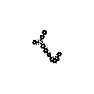 c1ccc(-c2ccc(-c3nc(-c4ccccc4)nc(-c4ccc(-c5ccc(-c6ccc(-c7ccc8ccc9ccc(-c%10ccccc%10)nc9c8n7)cc6)cc5)cc4)n3)cc2)cc1